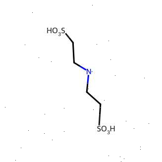 O=S(=O)(O)CC[N]CCS(=O)(=O)O